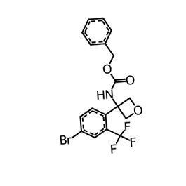 O=C(NC1(c2ccc(Br)cc2C(F)(F)F)COC1)OCc1ccccc1